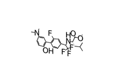 COC(=O)[C@H](CC(C)C)NC(c1ccc(-c2cc(N(C)C)ccc2O)c(F)c1)C(F)(F)F